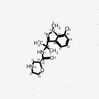 Cn1nc(C(C)(C)NC(=O)[C@@H]2CNCCO2)c2cccc(Cl)c21